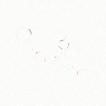 [CH2]c1ccc(NC(=O)[C@H](CCCNC(N)=O)NC(=O)[C@@H](NC(=O)COC2C#CCCCCC2)C(C)C)cc1